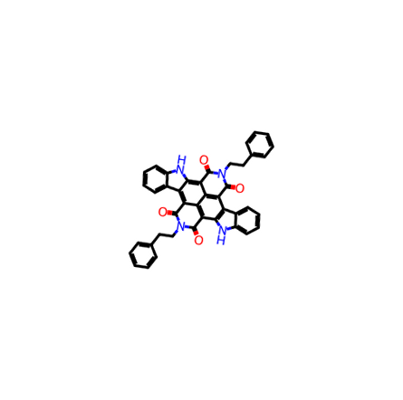 O=C1c2c3[nH]c4ccccc4c3c3c4c(c5[nH]c6ccccc6c5c(c24)C(=O)N1CCc1ccccc1)C(=O)N(CCc1ccccc1)C3=O